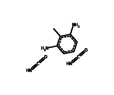 Cc1c(N)cccc1N.N=C=O.N=C=O